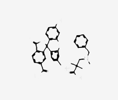 CN(Cc1ccccc1)CC(C)(C)C(=O)O.O=C(O)c1ccc2c(c1)C1(OC2=O)c2ccc(O)cc2Oc2cc(O)ccc21